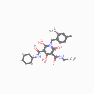 COc1cc(C)ccc1Cn1c(O)c(C(=O)NC2CCCCC2)c(O)c(C(=O)NCC(=O)O)c1=O